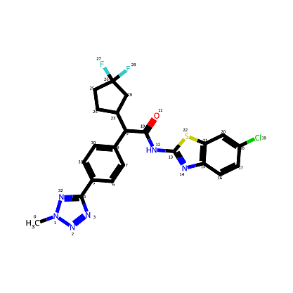 Cn1nnc(-c2ccc(C(C(=O)Nc3nc4ccc(Cl)cc4s3)C3CCC(F)(F)C3)cc2)n1